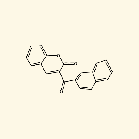 O=C(c1ccc2ccccc2c1)c1cc2ccccc2oc1=O